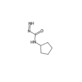 N=NC(=O)NC1CCCC1